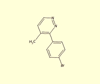 Cc1ccnnc1-c1ccc(Br)cc1